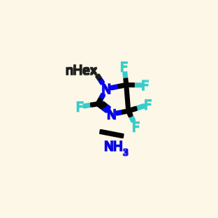 CC.CCCCCCN1C(F)=NC(F)(F)C1(F)F.N